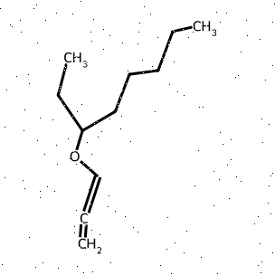 C=C=COC(CC)CCCCC